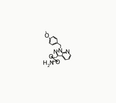 COc1ccc(Cn2nc(S(N)(=O)=O)c3cccnc32)cc1